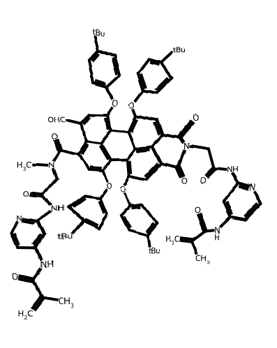 C=C(C)C(=O)Nc1ccnc(NC(=O)CN(C)C(=O)c2cc(Oc3ccc(C(C)(C)C)cc3)c3c4c(Oc5ccc(C(C)(C)C)cc5)cc5c6c(cc(Oc7ccc(C(C)(C)C)cc7)c(c7c(Oc8ccc(C(C)(C)C)cc8)cc(C=O)c2c73)c64)C(=O)N(CC(=O)Nc2cc(NC(=O)C(=C)C)ccn2)C5=O)c1